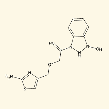 N=C(COCc1csc(N)n1)N1NN(O)c2ccccc21